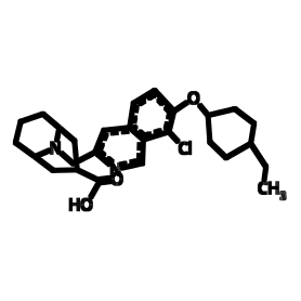 CCC1CCC(Oc2ccc3cc(CN4C5CCCC4CC(C(=O)O)C5)ncc3c2Cl)CC1